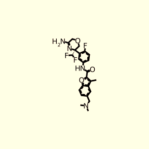 Cc1c(C(=O)Nc2ccc(F)c([C@]3(C(F)F)COCC(N)=N3)c2)oc2ccc(CN(C)C)cc12